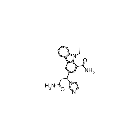 CCn1c2ccccc2c2cc(C(CC(N)=O)n3ccnc3)cc(C(N)=O)c21